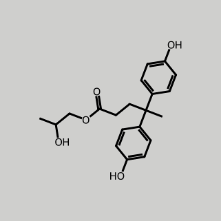 CC(O)COC(=O)CCC(C)(c1ccc(O)cc1)c1ccc(O)cc1